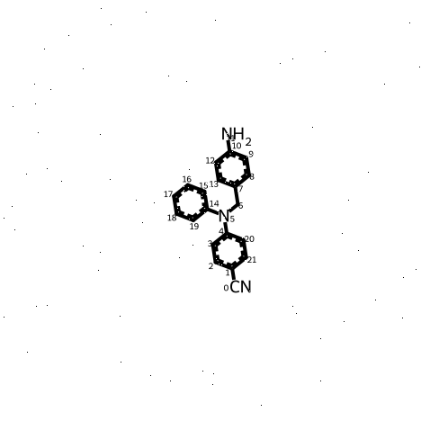 N#Cc1ccc(N(Cc2ccc(N)cc2)c2ccccc2)cc1